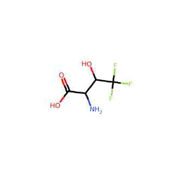 NC(C(=O)O)C(O)C(F)(F)F